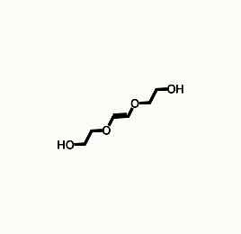 OCCOC=COCCO